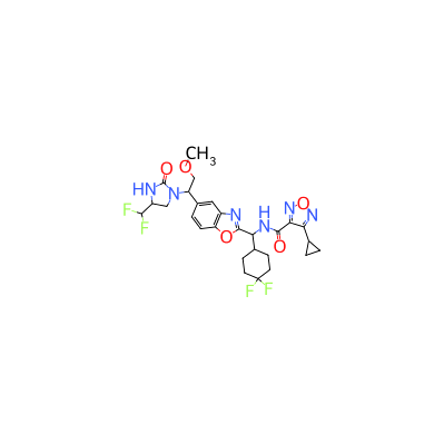 COCC(c1ccc2oc(C(NC(=O)c3nonc3C3CC3)C3CCC(F)(F)CC3)nc2c1)N1CC(C(F)F)NC1=O